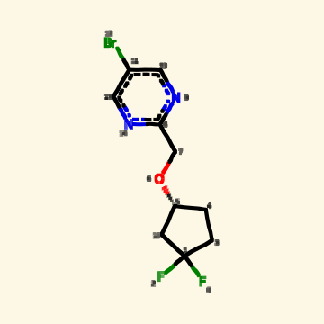 FC1(F)CC[C@@H](OCc2ncc(Br)cn2)C1